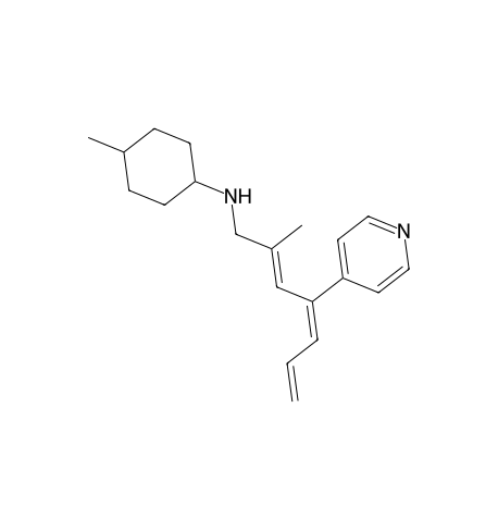 C=C/C=C(\C=C(/C)CNC1CCC(C)CC1)c1ccncc1